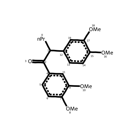 CCCC(C(=O)c1ccc(OC)c(OC)c1)c1ccc(OC)c(OC)c1